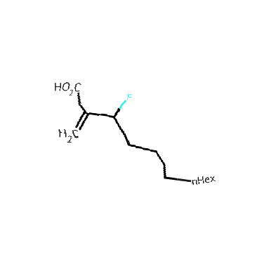 C=C(C(=O)O)C(F)CCCCCCCCC